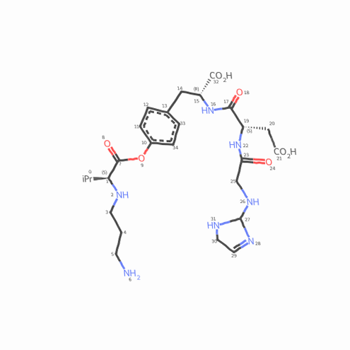 CC(C)[C@H](NCCCN)C(=O)Oc1ccc(C[C@@H](NC(=O)[C@H](CC(=O)O)NC(=O)CNC2N=CCN2)C(=O)O)cc1